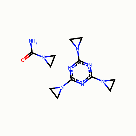 C1CN1c1nc(N2CC2)nc(N2CC2)n1.NC(=O)N1CC1